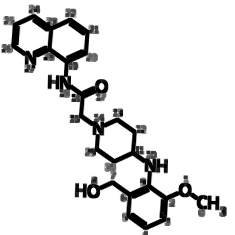 COc1cccc(CO)c1NC1CCN(CC(=O)Nc2cccc3cccnc23)CC1